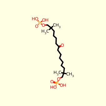 CC(C)(CCCCCCC(=O)CCCCC(C)(C)COP(=O)(O)O)COP(=O)(O)O